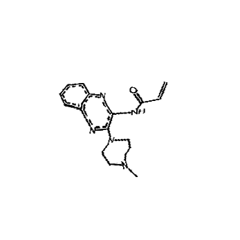 C=CC(=O)Nc1nc2ccccc2nc1N1CCN(C)CC1